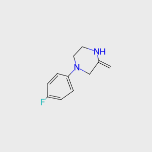 C=C1CN(c2ccc(F)cc2)CCN1